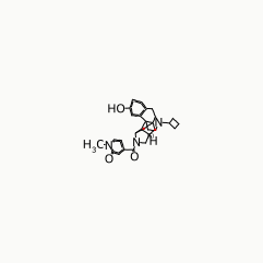 Cn1ccc(C(=O)N2C[C@H]3CC45CCC2C3C42CCN(C3CCC3)C5Cc3ccc(O)cc32)cc1=O